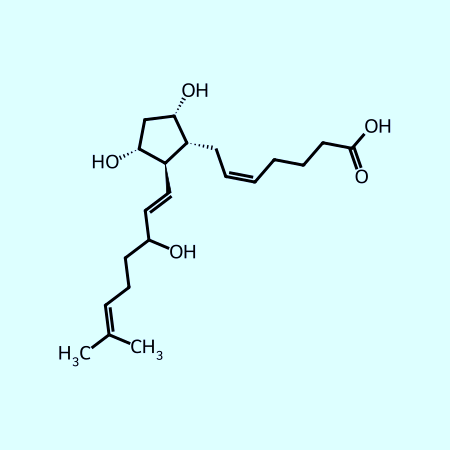 CC(C)=CCCC(O)/C=C/[C@@H]1[C@@H](C/C=C\CCCC(=O)O)[C@@H](O)C[C@H]1O